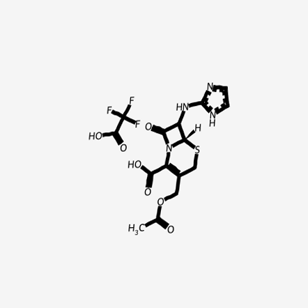 CC(=O)OCC1=C(C(=O)O)N2C(=O)C(Nc3ncc[nH]3)[C@@H]2SC1.O=C(O)C(F)(F)F